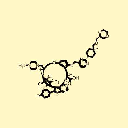 Cc1c(Cl)c2c(Cl)c(C)c1-c1c(-c3ccc(F)cc3)sc3ncnc(c13)O[C@@H](C(=O)O)Cc1cc(ccc1OCc1ccnc([C@H]3CC[C@](F)(COC[C@@H]4COCCO4)CC3)n1)OCC[C@@H](CN1CCN(C)CC1)O2